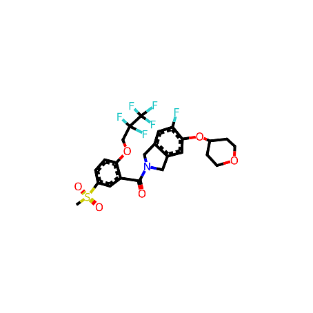 CS(=O)(=O)c1ccc(OCC(F)(F)C(F)(F)F)c(C(=O)N2Cc3cc(F)c(OC4CCOCC4)cc3C2)c1